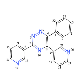 c1ccc(-c2nnc(-c3cccnc3)nc2-c2cccnc2)cc1